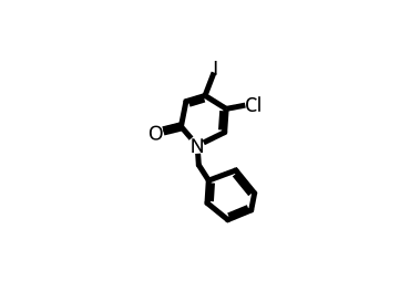 O=c1cc(I)c(Cl)cn1Cc1ccccc1